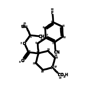 CC(OC(=O)C1(Cc2cc(F)ccc2C#N)CCN(C(=O)O)CC1)C(C)(C)C